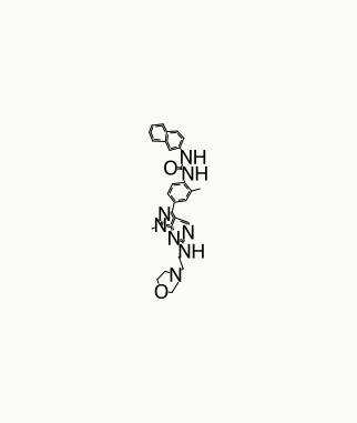 Cc1cc(-c2nn(C)c3nc(NCCN4CCOCC4)ncc23)ccc1NC(=O)Nc1ccc2ccccc2c1